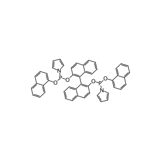 c1ccc2c(OP(Oc3ccc4ccccc4c3-c3c(OP(Oc4cccc5ccccc45)n4cccc4)ccc4ccccc34)n3cccc3)cccc2c1